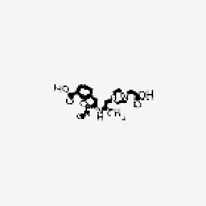 C=C(CN1CCN(CC(=O)O)CC1)NC1Cc2cccc(C(=O)O)c2OB1N=O